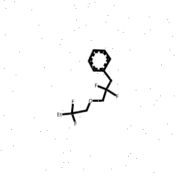 CCC(F)(F)COCC(F)(F)Cc1ccccc1